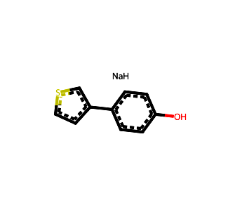 Oc1ccc(-c2ccsc2)cc1.[NaH]